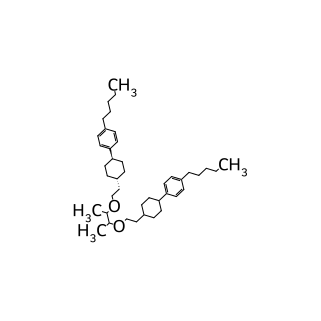 CCCCCc1ccc(C2CCC(CCOC(C)C(C)OCC[C@H]3CC[C@H](c4ccc(CCCCC)cc4)CC3)CC2)cc1